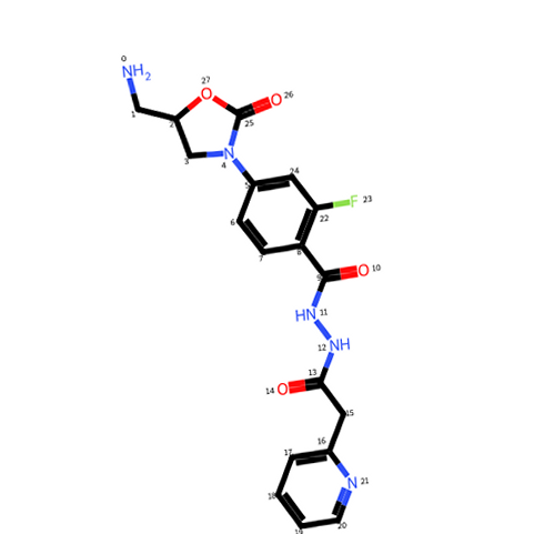 NCC1CN(c2ccc(C(=O)NNC(=O)Cc3ccccn3)c(F)c2)C(=O)O1